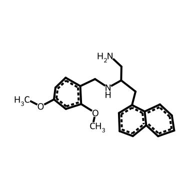 COc1ccc(CNC(CN)Cc2cccc3ccccc23)c(OC)c1